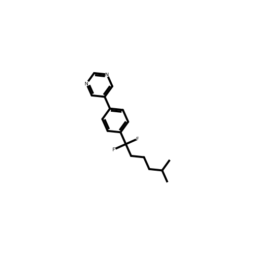 CC(C)CCCC(F)(F)c1ccc(-c2cncnc2)cc1